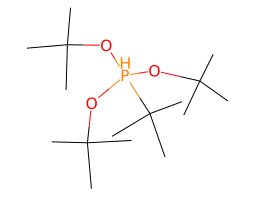 CC(C)(C)O[PH](OC(C)(C)C)(OC(C)(C)C)C(C)(C)C